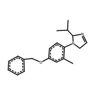 Cc1cc(OCc2ccccc2)ccc1N1CC=NC1C(C)C